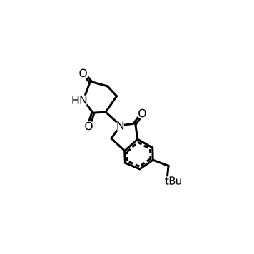 CC(C)(C)Cc1ccc2c(c1)C(=O)N(C1CCC(=O)NC1=O)C2